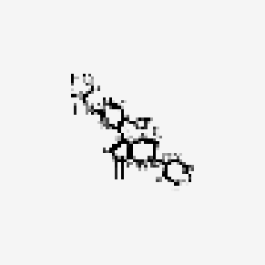 C[C@@H](CO)Nc1ncc(C(F)(F)F)c(-c2c[nH]c3nc(C4CCOCC4)ccc23)n1